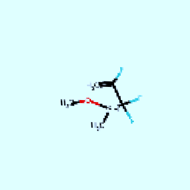 C=C(F)C(F)(F)[SiH](C)O[SiH3]